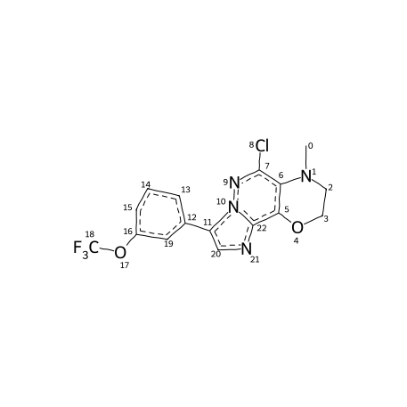 CN1CCOc2c1c(Cl)nn1c(-c3cccc(OC(F)(F)F)c3)cnc21